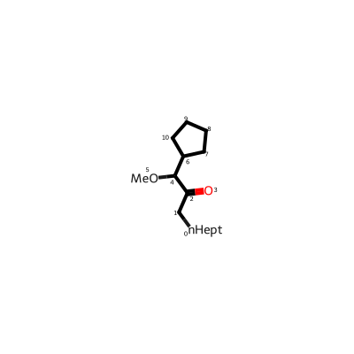 CCCCCCCCC(=O)C(OC)C1CCCC1